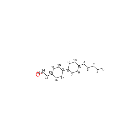 CCCCCC1CCC(C2CCC(CC=O)CC2)CC1